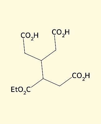 CCOC(=O)C(CC(=O)O)C(CC(=O)O)CC(=O)O